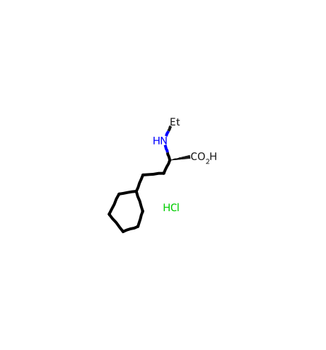 CCN[C@H](CCC1CCCCC1)C(=O)O.Cl